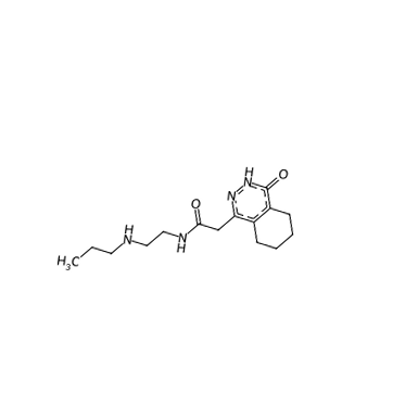 CCCNCCNC(=O)Cc1n[nH]c(=O)c2c1CCCC2